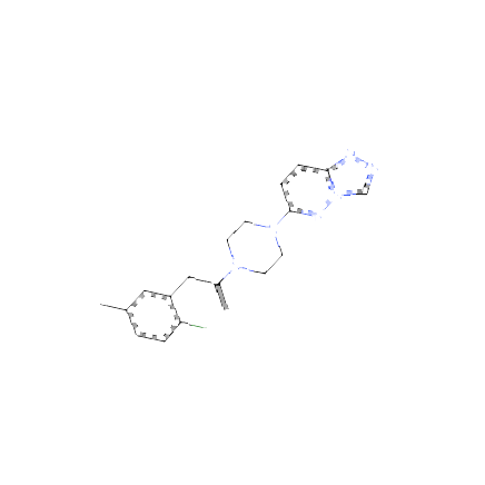 C=C(Cc1cc(C)ccc1Cl)N1CCN(c2ccc3nncn3n2)CC1